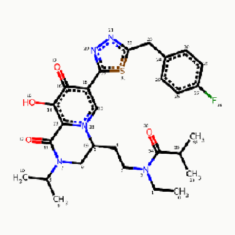 CCN(CC[C@H]1CN(C(C)C)C(=O)c2c(O)c(=O)c(-c3nnc(Cc4ccc(F)cc4)s3)cn21)C(=O)C(C)C